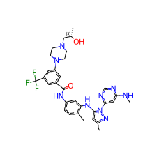 CNc1cc(-n2nc(C)cc2Nc2cc(NC(=O)c3cc(N4CCN(C[C@H](C)O)CC4)cc(C(F)(F)F)c3)ccc2C)ncn1